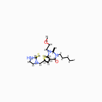 C=C1N(CCCCC)C(=O)c2cc(CN3CCNC3=S)sc2N1CCOC